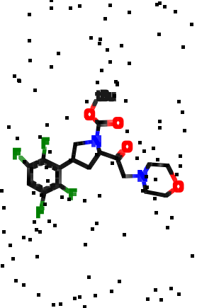 CC(C)(C)OC(=O)N1CC(c2c(F)c(F)cc(F)c2F)CC1C(=O)CN1CCOCC1